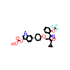 Cn1cc(OC(=O)O)c2ccc([C@H]3CC[C@@H](OCc4c(-c5ccccc5OC(F)(F)F)noc4C4CC4)CC3)cc21